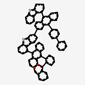 c1ccc(-c2ccc(-c3c4ccccc4c(-c4cccc5sc6ccccc6c45)c4ccc(-c5ccc6c(c5)sc5cccc(-c7c8ccccc8c(-c8ccccc8-c8cccc9ccccc89)c8ccccc78)c56)cc34)cc2)cc1